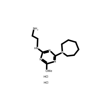 COc1nc(NCCN)nc(N2CCCCCC2)n1.Cl.Cl